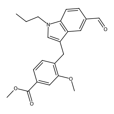 CCCn1cc(Cc2ccc(C(=O)OC)cc2OC)c2cc(C=O)ccc21